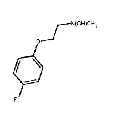 CCc1ccc(OCCN(C)O)cc1